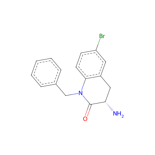 N[C@H]1Cc2cc(Br)ccc2N(Cc2ccccc2)C1=O